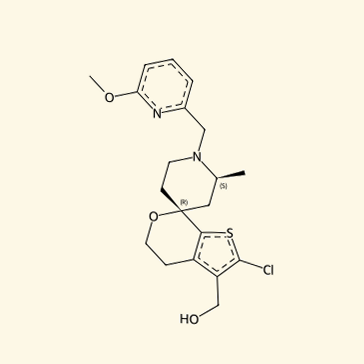 COc1cccc(CN2CC[C@]3(C[C@@H]2C)OCCc2c3sc(Cl)c2CO)n1